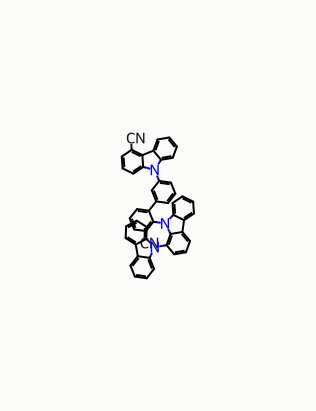 N#Cc1cccc(-c2cccc(-n3c4ccccc4c4c(C#N)cccc43)c2)c1-n1c2ccccc2c2cccc(-n3c4ccccc4c4ccccc43)c21